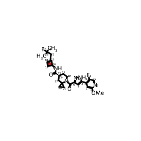 COc1cc(-c2cc(C(=O)N3CC[C@H](C(=O)NC45CC(C4)N(CC(C)(C)F)C5)CC34CC4)n[nH]2)c(F)cn1